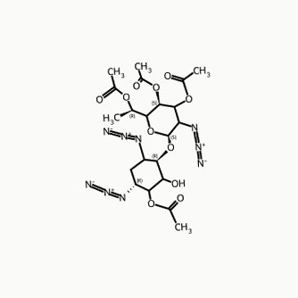 CC(=O)OC1C(N=[N+]=[N-])[C@@H](O[C@@H]2C(N=[N+]=[N-])C[C@@H](N=[N+]=[N-])C(OC(C)=O)C2O)OC([C@@H](C)OC(C)=O)[C@H]1OC(C)=O